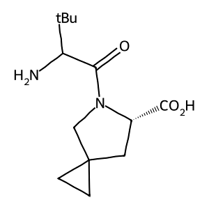 CC(C)(C)C(N)C(=O)N1CC2(CC2)C[C@H]1C(=O)O